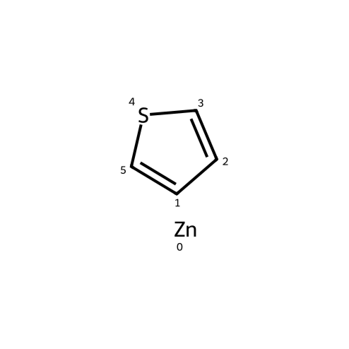 [Zn].c1ccsc1